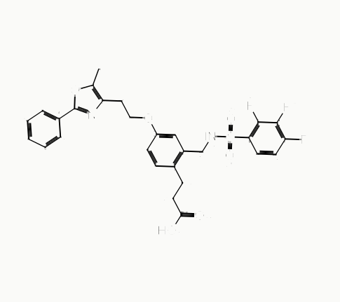 Cc1oc(-c2ccccc2)nc1CCOc1ccc(CCC(=O)O)c(CNS(=O)(=O)c2ccc(F)c(F)c2F)c1